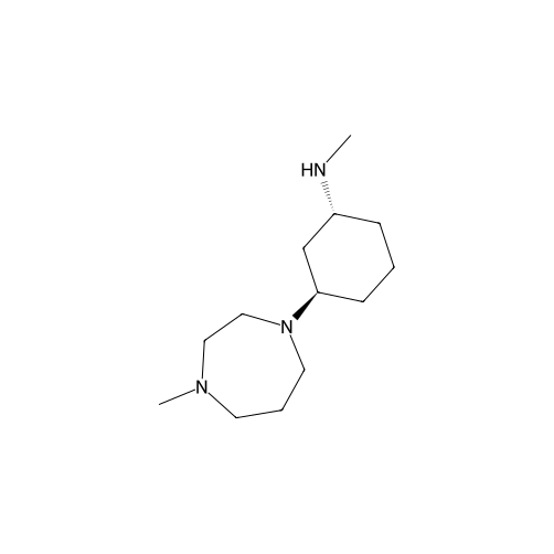 CN[C@@H]1CCC[C@@H](N2CCCN(C)CC2)C1